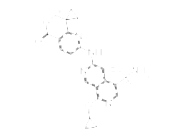 CC[C@@](C)(N)c1cnc(OC2CC2)c2cnc(Nc3ccc4c(n3)C3(CC3)[C@@H](C)OC4=O)cc12